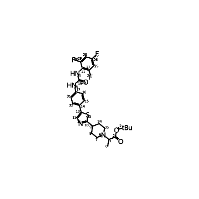 CC(C(=O)OC(C)(C)C)N1CCC(c2ncc(-c3ccc(NC(=O)Nc4c(F)cc(F)cc4F)cc3)s2)CC1